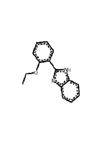 CCOc1ccccc1-c1nc2ccccc2[nH]1